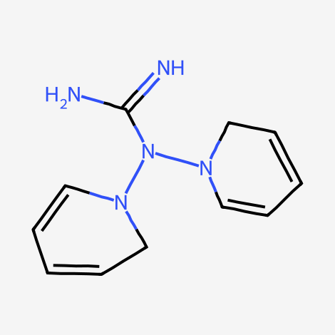 N=C(N)N(N1C=CC=CC1)N1C=CC=CC1